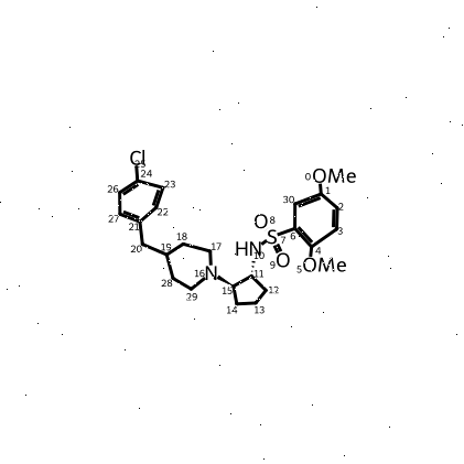 COc1ccc(OC)c(S(=O)(=O)N[C@@H]2CCC[C@H]2N2CCC(Cc3ccc(Cl)cc3)CC2)c1